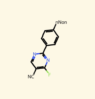 CCCCCCCCCc1ccc(-c2ncc(C#N)c(F)n2)cc1